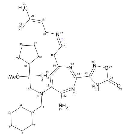 COC(C)(CN(CC1CCCCC1)C1=C=C(C/C=N\CC=C(C)Cl)N=C(c2noc(=O)[nH]2)N=C1N)C1CCCC1